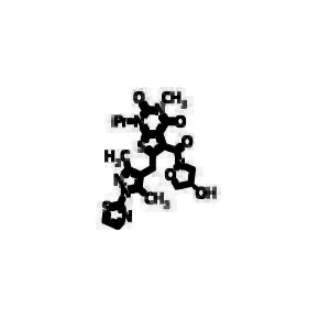 Cc1nn(-c2nccs2)c(C)c1Cc1sc2c(c1C(=O)N1C[C@H](O)CO1)c(=O)n(C)c(=O)n2C(C)C